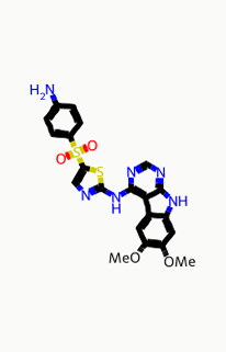 COc1cc2[nH]c3ncnc(Nc4ncc(S(=O)(=O)c5ccc(N)cc5)s4)c3c2cc1OC